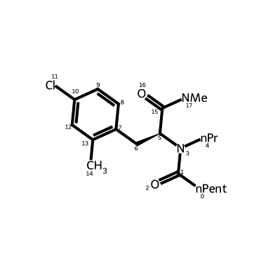 CCCCCC(=O)N(CCC)[C@@H](Cc1ccc(Cl)cc1C)C(=O)NC